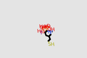 C[N+]1(C)CC(CCS)CCC1(P(=O)(O)O)P(=O)(O)O.[I-]